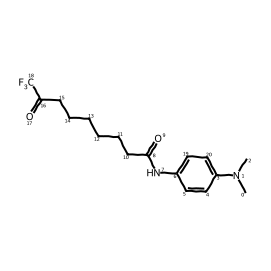 CN(C)c1ccc(NC(=O)CCCCCCC(=O)C(F)(F)F)cc1